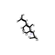 CC(C)=CC1=C(C)/C(=C/C(C)C)CSC1